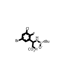 CC(C)(C)[S@@+]([O-])NC(CC(=O)O)c1cc(Br)cc(Cl)c1F